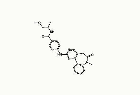 COCC(C)NC(=O)c1ccc(Nc2ncc3c(n2)-c2ccccc2N(C)C(=O)C3)cc1